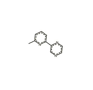 Cc1cccc(-c2cnccn2)n1